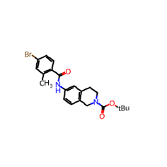 Cc1cc(Br)ccc1C(=O)Nc1ccc2c(c1)CCN(C(=O)OC(C)(C)C)C2